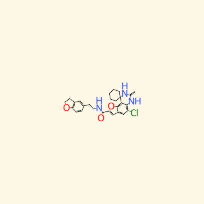 C=C1Nc2c(Cl)cc3cc(C(=O)NCCc4ccc5c(c4)CCO5)oc3c2C2(CCCCC2)N1